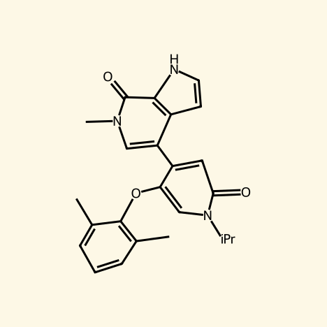 Cc1cccc(C)c1Oc1cn(C(C)C)c(=O)cc1-c1cn(C)c(=O)c2[nH]ccc12